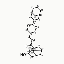 O=C(OCC1COC(C2CC3CCCC(C3)C2)OC1)C12CC3CC(CC(O)(C3)C1)C2